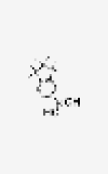 CC1(C)c2ccc(B(O)O)cc2C(C)(C)C1(C)C